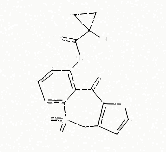 O=C1c2sccc2CS(=O)(=O)c2cccc(NC(=O)C3(O)CC3)c21